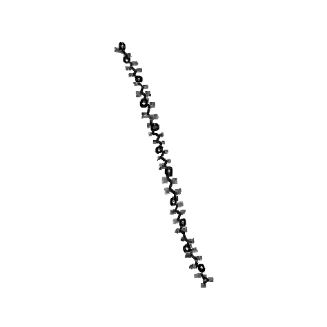 C(CCOCCCCOCCCCOCCCCOCCCCOCC1CO1)COCCCCOCCCCOCCCCOCCCCOCC1CC1